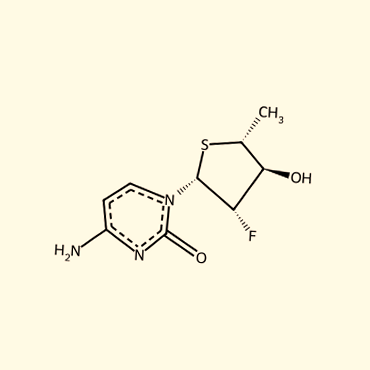 C[C@H]1S[C@@H](n2ccc(N)nc2=O)[C@@H](F)[C@@H]1O